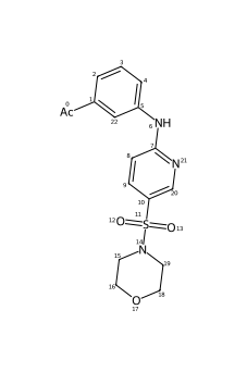 CC(=O)c1cccc(Nc2ccc(S(=O)(=O)N3CCOCC3)cn2)c1